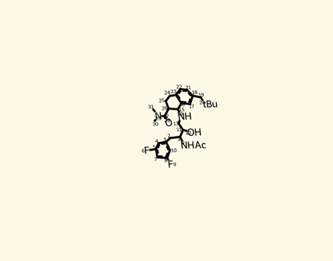 CC(=O)NC(Cc1cc(F)cc(F)c1)C(O)CNC1c2cc(CC(C)(C)C)ccc2CCC1C(=O)N(C)C